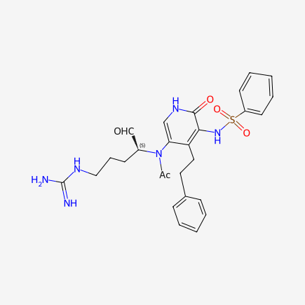 CC(=O)N(c1c[nH]c(=O)c(NS(=O)(=O)c2ccccc2)c1CCc1ccccc1)[C@H](C=O)CCCNC(=N)N